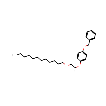 CCCCCCCCCCCCOC[C@@H](C)Oc1ccc(OCc2ccccc2)cc1